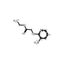 CCOC(=O)COc1ncccc1N